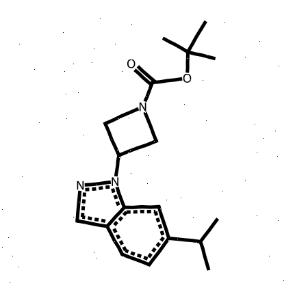 CC(C)c1ccc2cnn(C3CN(C(=O)OC(C)(C)C)C3)c2c1